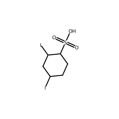 O=S(=O)(O)C1CCC(I)CC1I